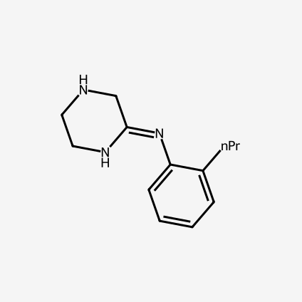 CCCc1ccccc1/N=C1/CNCCN1